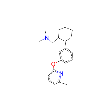 Cc1cccc(Oc2cccc(C3CCCCC3CN(C)C)c2)n1